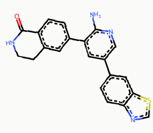 Nc1ncc(-c2ccc3ncsc3c2)cc1-c1ccc2c(c1)CCNC2=O